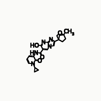 CC12CCC(c3cn4cc(C(=O)Nc5cccn(C6CC6)c5=O)c(O)nc4n3)(CO1)C2